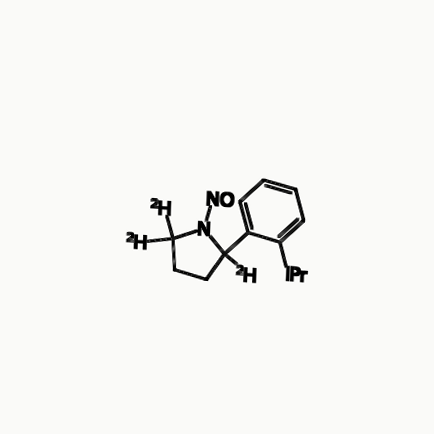 [2H]C1([2H])CCC([2H])(c2ccccc2C(C)C)N1N=O